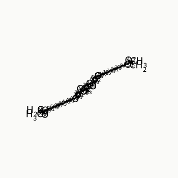 C=C(C)C(=O)OCCCCCCCCCCCCCCOc1ccc(C(=O)Oc2ccc(OC(=O)c3ccc(OCCCCCCCCCCCCCCOC(=O)C(=C)C)cc3)c(F)c2)cc1